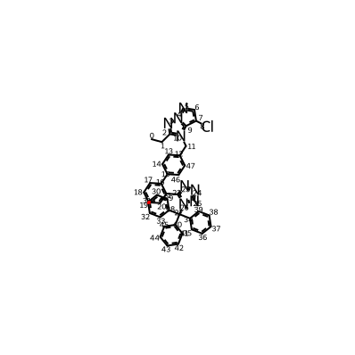 CCc1nn2ncc(Cl)c2n1Cc1ccc(-c2ccccc2-c2nnnn2C(c2ccccc2)(c2ccccc2)c2ccccc2)cc1